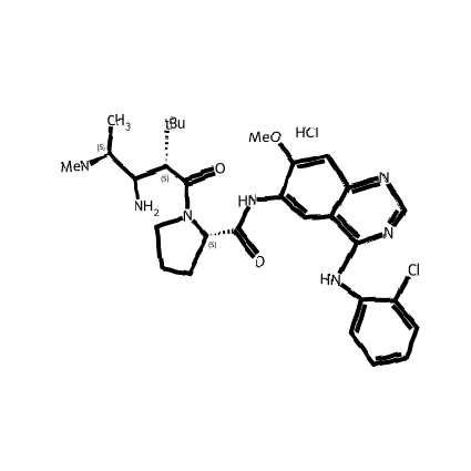 CN[C@@H](C)C(N)[C@@H](C(=O)N1CCC[C@H]1C(=O)Nc1cc2c(Nc3ccccc3Cl)ncnc2cc1OC)C(C)(C)C.Cl